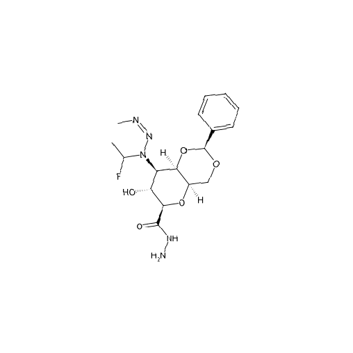 C/N=N\N(C(C)F)[C@@H]1[C@@H](O)[C@H](C(=O)NN)O[C@@H]2CO[C@H](c3ccccc3)O[C@H]12